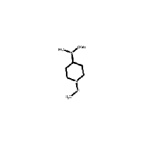 COB(O)C1CCN(PC)CC1